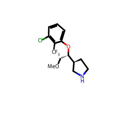 COC[C@H](Oc1cccc(Cl)c1C(F)(F)F)[C@H]1CCNC1